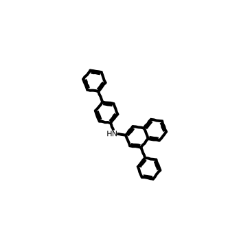 c1ccc(-c2ccc(Nc3cc(-c4ccccc4)c4ccccc4c3)cc2)cc1